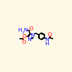 CC(=O)Nc1ccc(Cn2cnc(OC(C)=O)c2C(N)=O)cc1